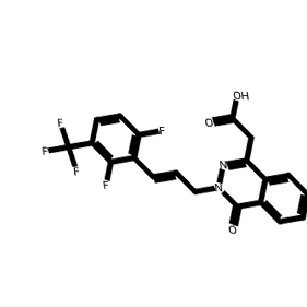 O=C(O)Cc1nn(CC=Cc2c(F)ccc(C(F)(F)F)c2F)c(=O)c2ccccc12